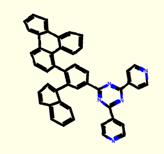 c1ccc2c(-c3cc(-c4nc(-c5ccncc5)nc(-c5ccncc5)n4)ccc3-c3cccc4c5ccccc5c5ccccc5c34)cccc2c1